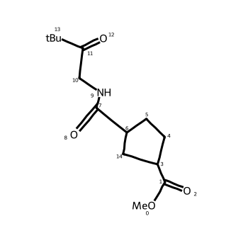 COC(=O)C1CCC(C(=O)NCC(=O)C(C)(C)C)C1